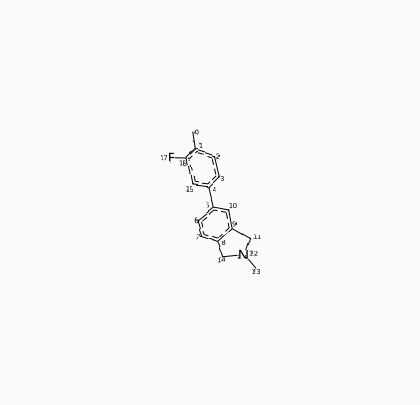 Cc1ccc(-c2ccc3c(c2)CN(C)C3)cc1F